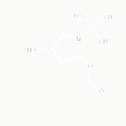 CC1CC(OC=O)N(C(C)(C)C)C1